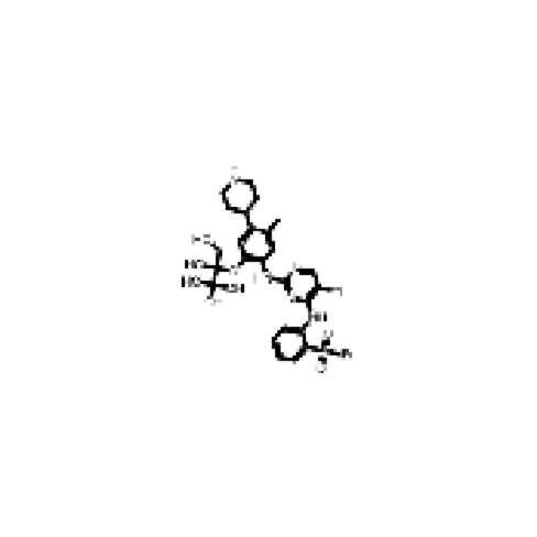 Cc1cc(Nc2ncc(Cl)c(Nc3ccccc3S(=O)(=O)C(C)C)n2)c(OC(O)(CO)C(O)(O)O)cc1C1CCNCC1